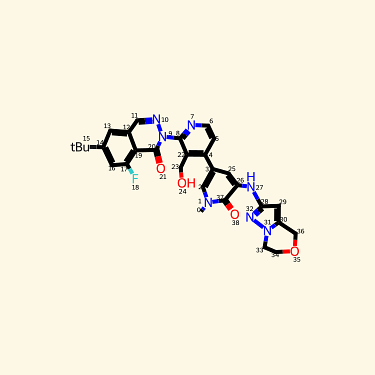 Cn1cc(-c2ccnc(-n3ncc4cc(C(C)(C)C)cc(F)c4c3=O)c2CO)cc(Nc2cc3n(n2)CCOC3)c1=O